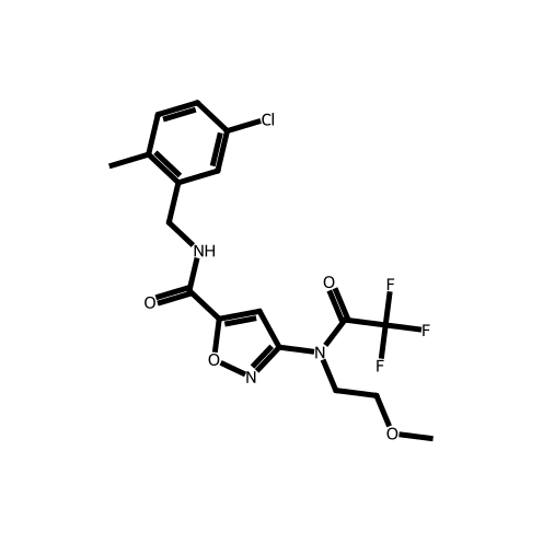 COCCN(C(=O)C(F)(F)F)c1cc(C(=O)NCc2cc(Cl)ccc2C)on1